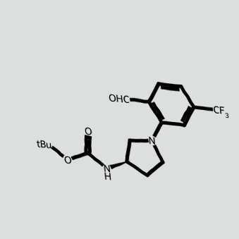 CC(C)(C)OC(=O)N[C@@H]1CCN(c2cc(C(F)(F)F)ccc2C=O)C1